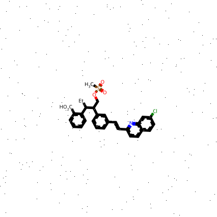 CCC(c1ccccc1C(=O)O)C(COS(C)(=O)=O)c1cccc(C=Cc2ccc3ccc(Cl)cc3n2)c1